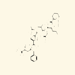 CC[C@H](C)[C@H](NC(=O)[C@H]1CCCCN1C)C(=O)N(CC(=O)OC)[C@H](C[C@@H](OC(C)=O)c1nc(C(=O)N[C@@H](Cc2ccccc2)C[C@H](C)C(=O)OC)cs1)C(C)C